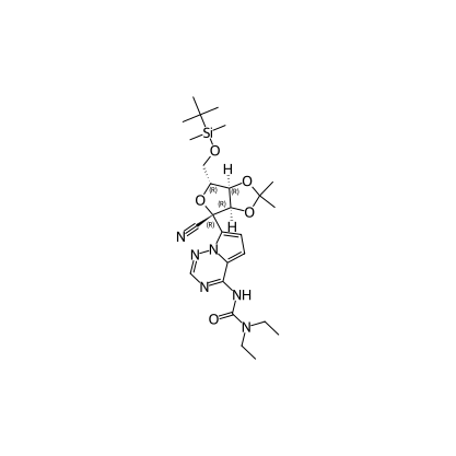 CCN(CC)C(=O)Nc1ncnn2c([C@]3(C#N)O[C@H](CO[Si](C)(C)C(C)(C)C)[C@H]4OC(C)(C)O[C@H]43)ccc12